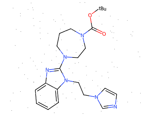 CC(C)(C)OC(=O)N1CCCN(c2nc3ccccc3n2CCn2ccnc2)CC1